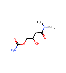 CN(C)C(=O)CC(O)COC(N)=O